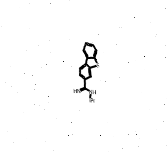 CC(C)NC(=N)c1ccc2c(c1)sc1ccccc12